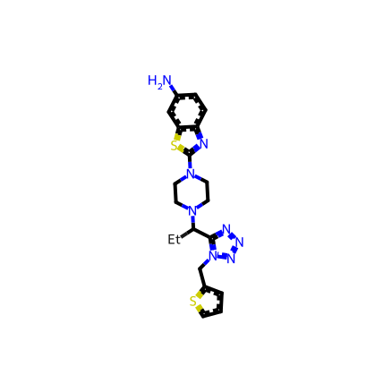 CCC(c1nnnn1Cc1cccs1)N1CCN(c2nc3ccc(N)cc3s2)CC1